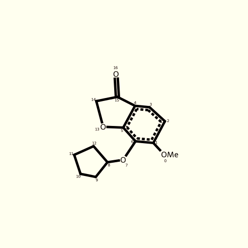 COc1ccc2c(c1OC1CCCC1)OCC2=O